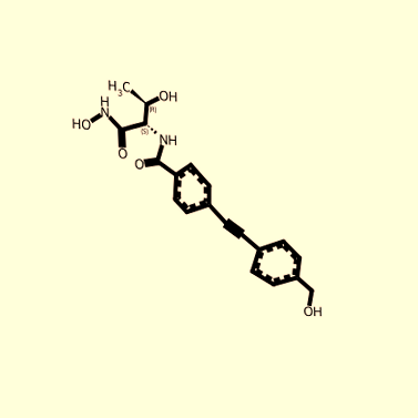 C[C@@H](O)[C@H](NC(=O)c1ccc(C#Cc2ccc(CO)cc2)cc1)C(=O)NO